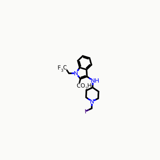 O=C(O)c1c(NC2CCN(CI)CC2)c2ccccc2n1CC(F)(F)F